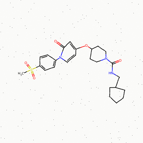 CS(=O)(=O)c1ccc(-n2ccc(OC3CCN(C(=O)NCC4CCCCC4)CC3)cc2=O)cc1